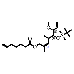 C=CCCCCC(=O)OC/C(C)=C\C(C)[C@H](O[Si](C)(C)C(C)(C)C)[C@H](C=C)OC